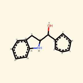 OC(c1ccccc1)C1Cc2ccccc2N1